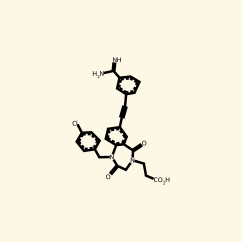 N=C(N)c1cccc(C#Cc2ccc3c(c2)C(=O)N(CCC(=O)O)CC(=O)N3Cc2ccc(Cl)cc2)c1